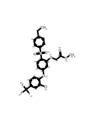 CCc1ccc(S(=O)(=O)c2ccc(Oc3ccc(C(F)(F)F)cc3Cl)cc2OCC(=O)OC)cc1